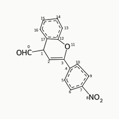 O=CC1C=C(c2ccc([N+](=O)[O-])cc2)Oc2ccccc21